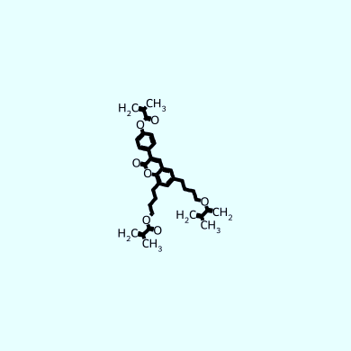 C=C(C)C(=C)OCCCCc1cc(CCCCOC(=O)C(=C)C)c2oc(=O)c(-c3ccc(OC(=O)C(=C)C)cc3)cc2c1